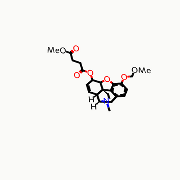 COCOc1ccc2c3c1OC1C(OC(=O)CCC(=O)OC)C=C[C@H]4[C@@H](C2)N(C)CC[C@]314